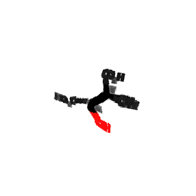 CO[C@H](C(=O)O)[C@H](O)C(=O)O